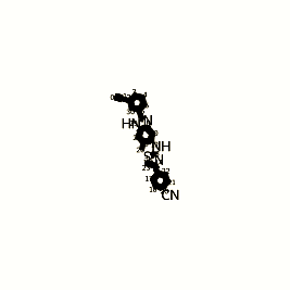 C#Cc1cccc(-c2nc3cc(Nc4nc(-c5ccc(C#N)cc5)cs4)c(C)cc3[nH]2)c1